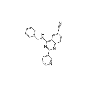 N#Cc1ccc2nc(-c3cccnc3)nc(NCc3ccccc3)c2c1